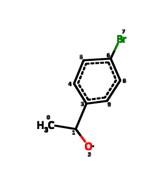 CC([O])c1ccc(Br)cc1